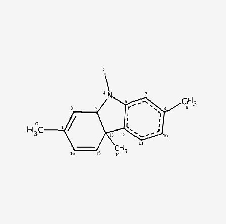 CC1=CC2N(I)c3cc(C)ccc3C2(C)C=C1